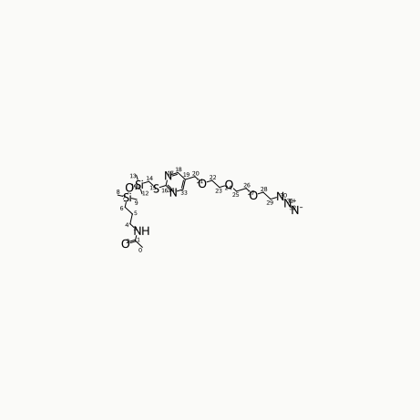 CC(=O)NCCC[Si](C)(C)O[Si](C)(C)CSc1ncc(COCCOCCOCCN=[N+]=[N-])cn1